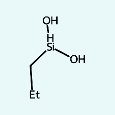 CCC[SiH](O)O